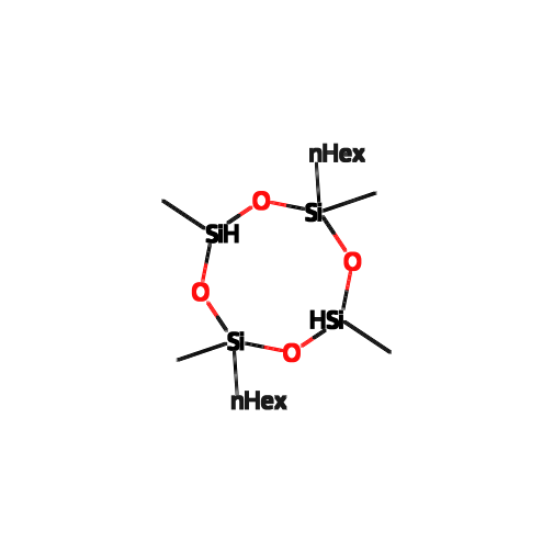 CCCCCC[Si]1(C)O[SiH](C)O[Si](C)(CCCCCC)O[SiH](C)O1